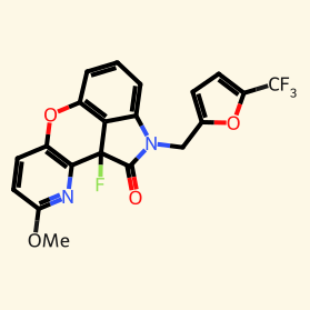 COc1ccc2c(n1)C1(F)C(=O)N(Cc3ccc(C(F)(F)F)o3)c3cccc(c31)O2